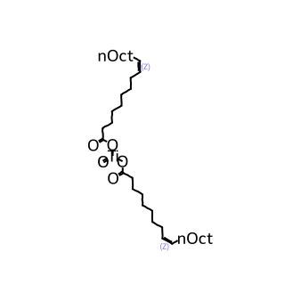 CCCCCCCC/C=C\CCCCCCCC(=O)[O][Ti](=[O])[O]C(=O)CCCCCCC/C=C\CCCCCCCC